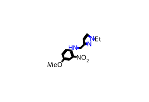 CCn1ccc(CNc2ccc(OC)cc2[N+](=O)[O-])n1